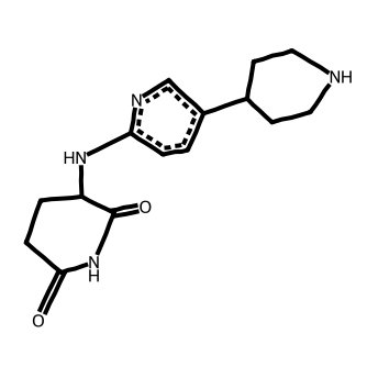 O=C1CCC(Nc2ccc(C3CCNCC3)cn2)C(=O)N1